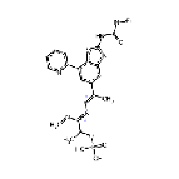 C=N/C(=N\C=C(/C)c1cc(-c2ccccn2)c2sc(NC(=O)NCC)nc2c1)C(C)OP(=O)(O)O